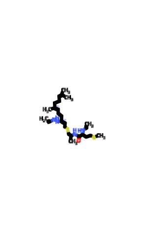 C=CNN/C(=C\CSCC(C)NC(=O)C(CCSC)NC=C)CC/C=C(\C)CCC=C(C)C